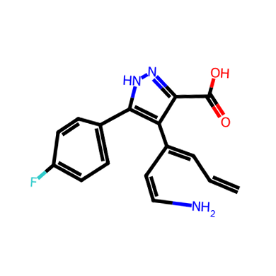 C=C/C=C(\C=C/N)c1c(C(=O)O)n[nH]c1-c1ccc(F)cc1